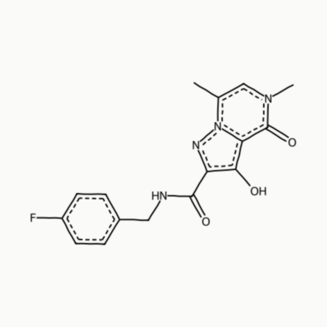 Cc1cn(C)c(=O)c2c(O)c(C(=O)NCc3ccc(F)cc3)nn12